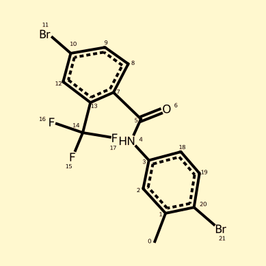 Cc1cc(NC(=O)c2ccc(Br)cc2C(F)(F)F)ccc1Br